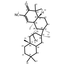 CC(=O)C[C@@H]1[C@@]2(C)C=C(C#N)C(=O)C(C)(C)[C@@H]2CC[C@@]1(C)[C@]1(C)CC[C@@]2(C)CCC(C)(C)CC2C1